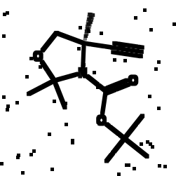 C#C[C@]1(C)COC(C)(C)N1C(=O)OC(C)(C)C